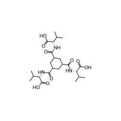 CC(C)[C@H](NC(=O)C1CC(C(=O)N[C@H](C(=O)O)C(C)C)CC(C(=O)N[C@H](C(=O)O)C(C)C)C1)C(=O)O